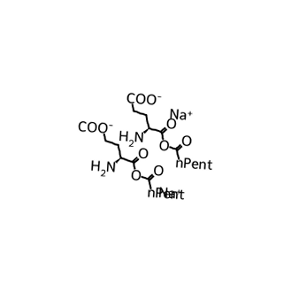 CCCCCC(=O)OC(=O)[C@@H](N)CCC(=O)[O-].CCCCCC(=O)OC(=O)[C@@H](N)CCC(=O)[O-].[Na+].[Na+]